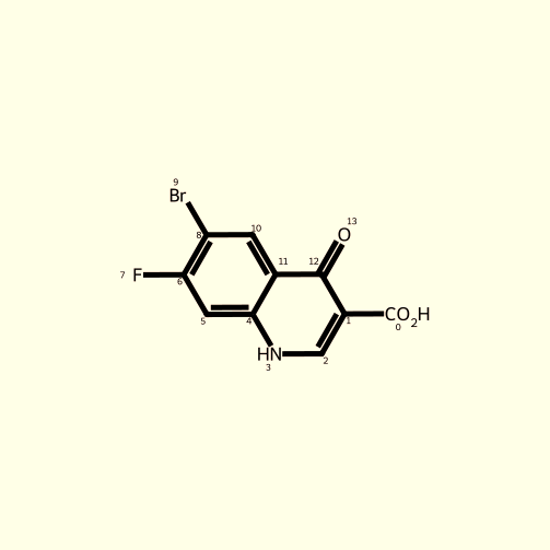 O=C(O)c1c[nH]c2cc(F)c(Br)cc2c1=O